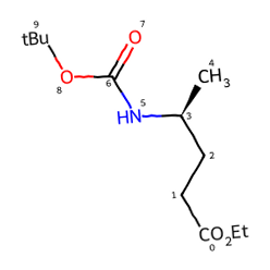 CCOC(=O)CC[C@H](C)NC(=O)OC(C)(C)C